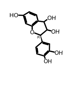 Oc1ccc2c(c1)O[C@H](c1ccc(O)c(O)c1)C(O)C2O